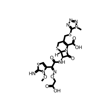 COn1c(C(=NOCC(=O)O)C(=O)N[C@@H]2C(=O)N3C(C(=O)O)=C(CSc4nnnn4C)CS[C@@H]23)csc1=N